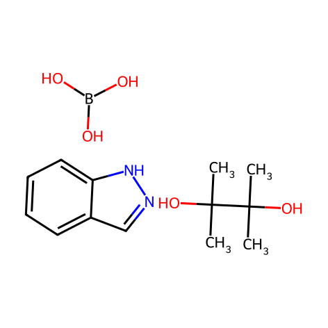 CC(C)(O)C(C)(C)O.OB(O)O.c1ccc2[nH]ncc2c1